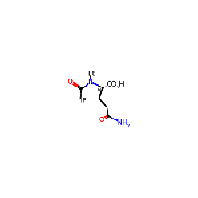 CCCC(=O)N(CC)[C@@H](CCC(N)=O)C(=O)O